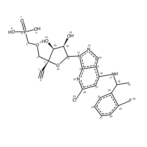 C#C[C@]1(COCP(=O)(O)O)OC(n2ncc3c(NC(C)c4ccccc4F)cc(Cl)nc32)[C@H](O)[C@@H]1O